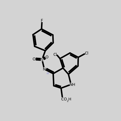 O=C(O)c1c/c(=N/S(=O)(=O)c2ccc(F)cc2)c2c(Cl)cc(Cl)cc2[nH]1